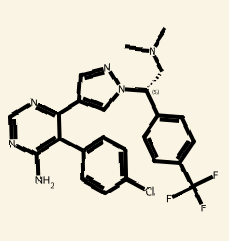 CN(C)C[C@H](c1ccc(C(F)(F)F)cc1)n1cc(-c2ncnc(N)c2-c2ccc(Cl)cc2)cn1